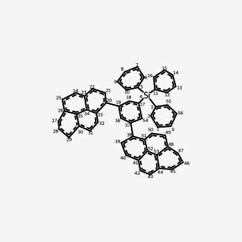 c1ccc([Si](c2ccccc2)(c2ccccc2)c2cc(-c3ccc4ccc5cccc6ccc3c4c56)cc(-c3ccc4ccc5cccc6ccc3c4c56)c2)cc1